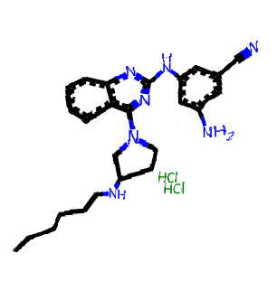 CCCCCCNC1CCN(c2nc(Nc3cc(N)cc(C#N)c3)nc3ccccc23)C1.Cl.Cl